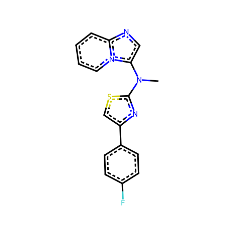 CN(c1nc(-c2ccc(F)cc2)cs1)c1cnc2ccccn12